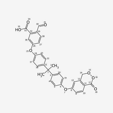 CC(C)(c1ccc(Oc2ccc3c(c2)COOC3=O)cc1)c1ccc(Oc2ccc(C=O)c(C(=O)O)c2)cc1